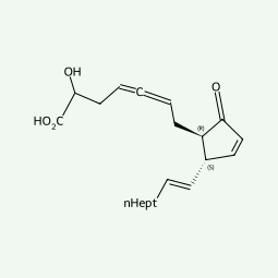 CCCCCCCC=C[C@H]1C=CC(=O)[C@@H]1CC=C=CCC(O)C(=O)O